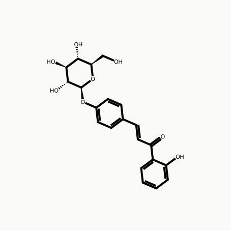 O=C(/C=C/c1ccc(O[C@@H]2O[C@H](CO)[C@@H](O)[C@H](O)[C@H]2O)cc1)c1ccccc1O